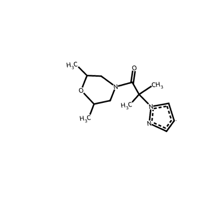 CC1CN(C(=O)C(C)(C)n2c[c]cn2)CC(C)O1